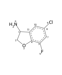 NC1COc2c(F)cc(Cl)cc21